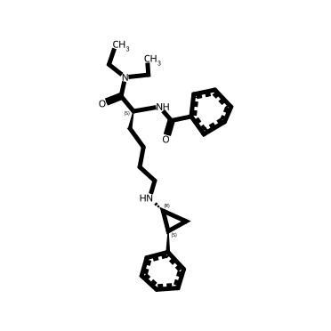 CCN(CC)C(=O)[C@H](CCCCN[C@@H]1C[C@H]1c1ccccc1)NC(=O)c1ccccc1